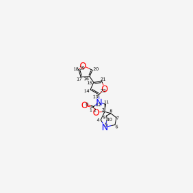 O=C1O[C@]2(CN3CCC2CC3)CN1c1cc(-c2ccoc2)co1